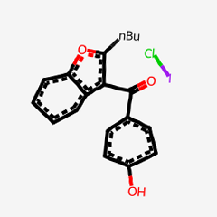 CCCCc1oc2ccccc2c1C(=O)c1ccc(O)cc1.ClI